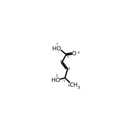 CC(O)C=CC(=O)O